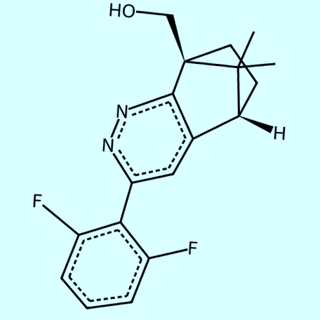 CC1(C)[C@@H]2CC[C@@]1(CO)c1nnc(-c3c(F)cccc3F)cc12